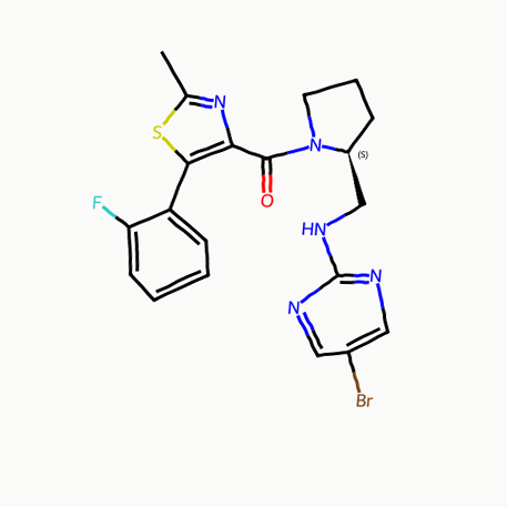 Cc1nc(C(=O)N2CCC[C@H]2CNc2ncc(Br)cn2)c(-c2ccccc2F)s1